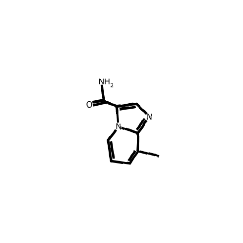 Cc1cccn2c(C(N)=O)cnc12